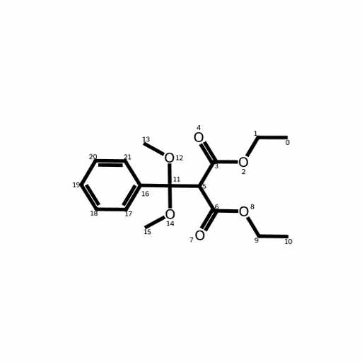 CCOC(=O)C(C(=O)OCC)C(OC)(OC)c1ccccc1